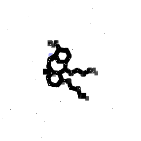 COCOC1C2CC=C(C)/C(=C/C[C@H]3CCC[C@H](OCOC)C13)C2